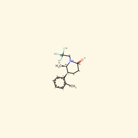 Cc1ccccc1[C@@H]1CCC(=O)N(CC(F)(F)F)[C@@H]1C